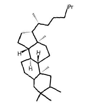 CC(C)CCC[C@@H](C)[C@H]1CC[C@H]2[C@@H]3CCC4CC(C)(C)C(C)C[C@]4(C)[C@H]3CC[C@]12C